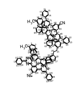 Cc1cccc(-c2ccc3c(c2)c2cc(-c4cccc(CCc5cccc(-c6ccc7c8ccc(-c9cccc(C)c9)cc8n(-c8c(-c9cc(-c%10ccccc%10)nc(-c%10ccccc%10)n9)cc(C#N)cc8-c8cc(-c9ccccc9)nc(-c9ccccc9)n8)c7c6)c5)c4)ccc2n3-c2c(-c3cc(-c4ccccc4)nc(-c4ccccc4)n3)cc(C#N)cc2-c2cc(-c3ccccc3)nc(-c3ccccc3)n2)c1